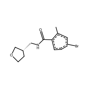 Cc1cc(Br)ccc1C(=O)NC[C@@H]1CCOC1